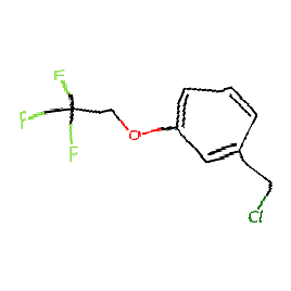 FC(F)(F)COc1cccc(CCl)c1